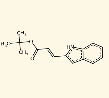 CC(C)(C)OC(=O)/C=C/c1cc2ccccc2[nH]1